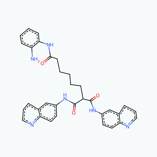 Nc1ccccc1NC(=O)CCCCCC(C(=O)Nc1ccc2ncccc2c1)C(=O)Nc1ccc2ncccc2c1